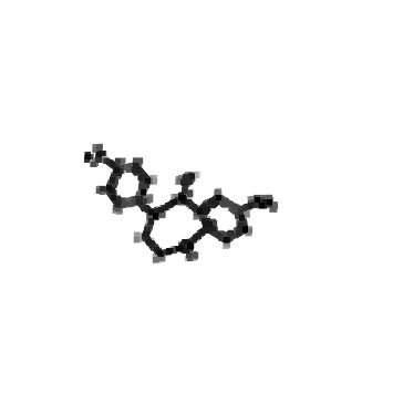 Nc1ccc2c(c1)[S+]([O-])N(c1ccc(C(F)(F)F)cc1)CCO2